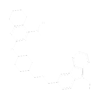 CCn1c2ccccc2c2cc(CNCC3CCC(Nc4nc5c(c(N(C)C)n4)CCCC5)CC3)ccc21